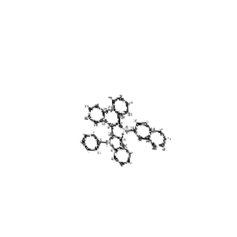 c1ccc(-n2c3ccccc3c3c2c2c4ccccc4c4ccccc4c2n3-c2ccc3ccccc3c2)cc1